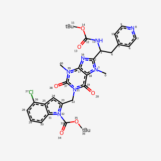 Cn1c(C(Cc2ccncc2)NC(=O)OC(C)(C)C)nc2c1c(=O)n(Cc1cc3c(Cl)cccc3n1C(=O)OC(C)(C)C)c(=O)n2C